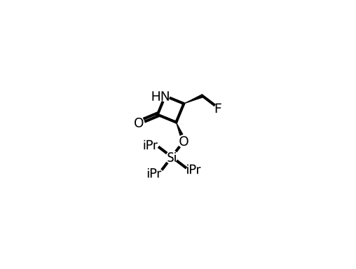 CC(C)[Si](O[C@H]1C(=O)N[C@H]1CF)(C(C)C)C(C)C